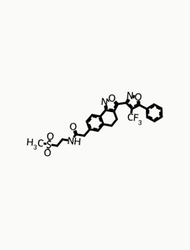 CS(=O)(=O)CCNC(=O)Cc1ccc2c(c1)CCc1c-2noc1-c1noc(-c2ccccc2)c1C(F)(F)F